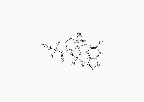 [2H]c1nc(N(C([2H])([2H])[2H])[C@@]2([2H])CN(C(=O)C([2H])([2H])[N+]#[C-])CC[C@@]2([2H])C)c2c([2H])c[nH]c2n1